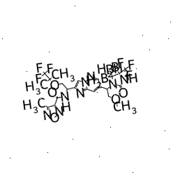 BC1(B)N(C(COC)c2cnn3cc(C(COC(C)(C)C(F)(F)F)NC(=O)c4nonc4C)nc3c2)C(=O)NC1(B)C(F)(F)F